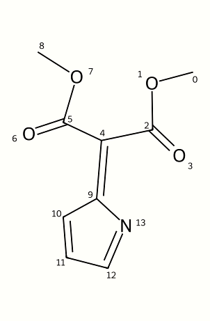 COC(=O)C(C(=O)OC)=C1C=CC=N1